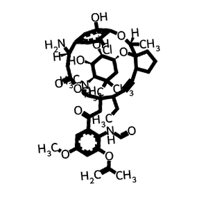 C=C(C)Oc1cc(OC)cc(C(=O)CC2COC(=O)C[C@H](N)c3cc(O)c(c(Cl)c3)O[C@H](C)C3(O[C@@H]4CC(C)(C)[C@@H](N(C)C)[C@@H](O)[C@H]4O)CCCC3C#CC2CC)c1NC=O